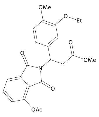 CCOc1cc(C(CC(=O)OC)N2C(=O)c3cccc(OC(C)=O)c3C2=O)ccc1OC